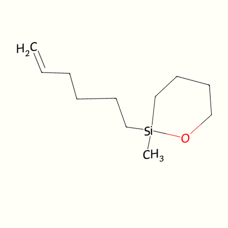 C=CCCCC[Si]1(C)CCCCO1